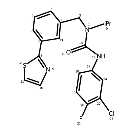 CC(C)N(Cc1cccc(-c2nccs2)c1)C(=O)Nc1ccc(F)c(Cl)c1